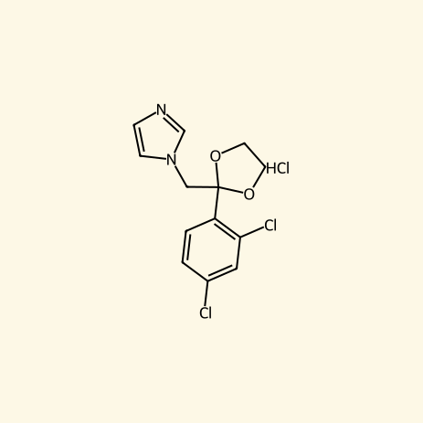 Cl.Clc1ccc(C2(Cn3ccnc3)OCCO2)c(Cl)c1